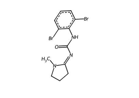 CN1CCCC1=NC(=O)Nc1c(Br)cccc1Br